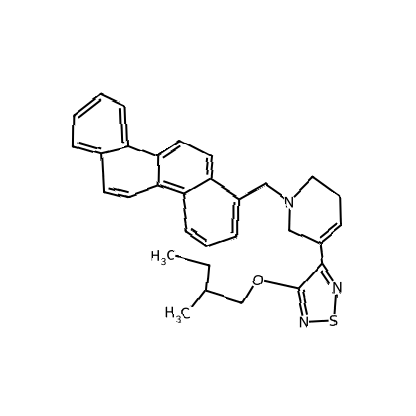 CCC(C)COc1nsnc1C1=CCCN(Cc2cccc3c2ccc2c4ccccc4ccc32)C1